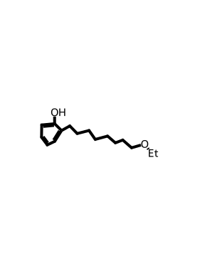 CCOCCCCCCCCc1ccccc1O